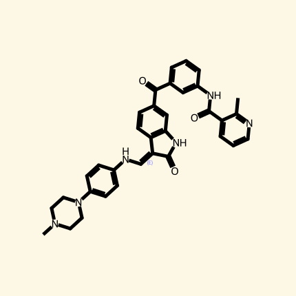 Cc1ncccc1C(=O)Nc1cccc(C(=O)c2ccc3c(c2)NC(=O)/C3=C/Nc2ccc(N3CCN(C)CC3)cc2)c1